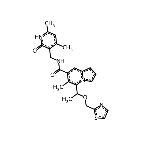 Cc1cc(C)c(CNC(=O)c2cc3cccn3c(C(C)OCc3nccs3)c2C)c(=O)[nH]1